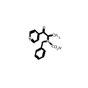 CC(C(=O)c1ccncc1)N(Cc1ccccc1)C(=O)O